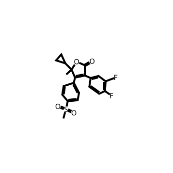 CC1(C2CC2)OC(=O)C(c2ccc(F)c(F)c2)=C1c1ccc(S(C)(=O)=O)cc1